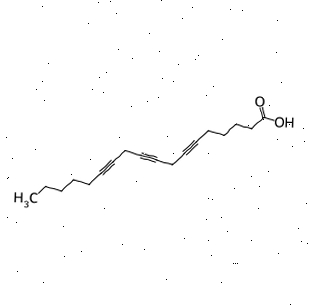 CCCCCC#CCC#CCC#CCCCCC(=O)O